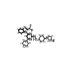 FC(F)c1nc2ccccc2n1-c1cc(N2CCOCC2)nc(NC[C@H]2CC[C@H](N3CC[C@@H](F)C3)CC2)n1